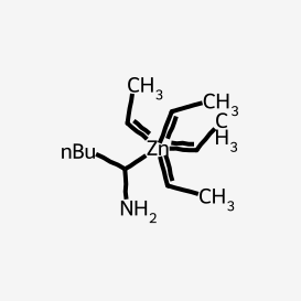 C[CH]=[Zn](=[CH]C)(=[CH]C)(=[CH]C)[CH](N)CCCC